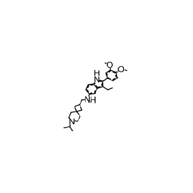 CCc1c(-c2ccc(OC)c(OC)c2)[nH]c2ccc(NCC3CC4(CCN(C(C)C)CC4)C3)cc12